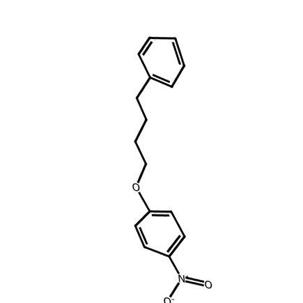 O=[N+]([O-])c1ccc(OCCCCc2ccccc2)cc1